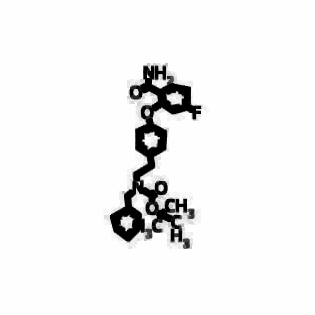 CC(C)(C)OC(=O)N(CCc1ccc(Oc2cc(F)ccc2C(N)=O)cc1)Cc1ccccc1